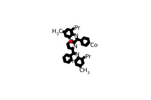 Cc1cc(C(C)C)c(N=C(c2ccccc2)c2cccc(C(=Nc3c(C(C)C)cc(C)cc3C(C)C)c3ccccc3)n2)c(C(C)C)c1.[Co]